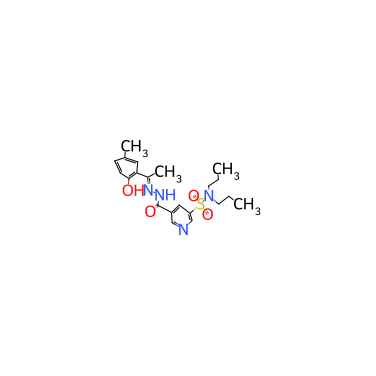 CCCN(CCC)S(=O)(=O)c1cncc(C(=O)N/N=C(\C)c2cc(C)ccc2O)c1